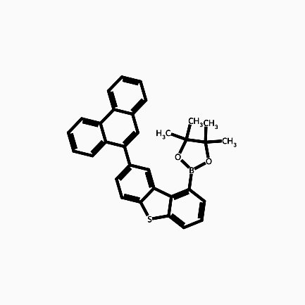 CC1(C)OB(c2cccc3sc4ccc(-c5cc6ccccc6c6ccccc56)cc4c23)OC1(C)C